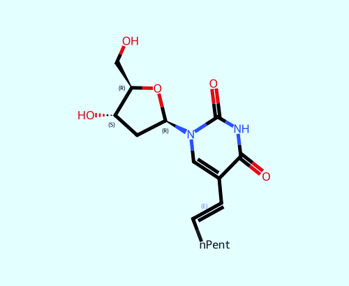 CCCCC/C=C/c1cn([C@H]2C[C@H](O)[C@@H](CO)O2)c(=O)[nH]c1=O